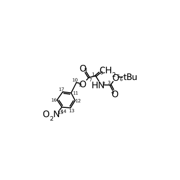 C=C(NC(=O)OC(C)(C)C)C(=O)OCc1ccc([N+](=O)[O-])cc1